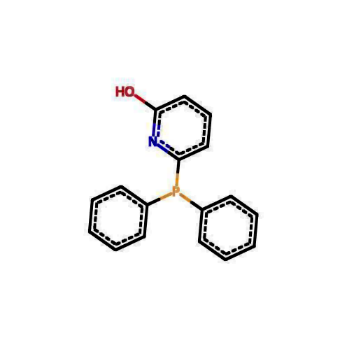 Oc1cccc(P(c2ccccc2)c2ccccc2)n1